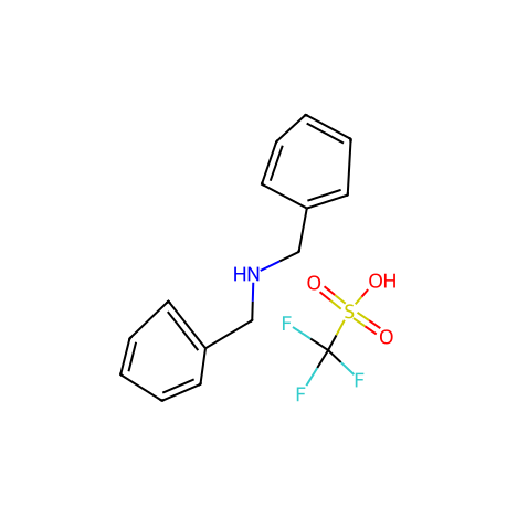 O=S(=O)(O)C(F)(F)F.c1ccc(CNCc2ccccc2)cc1